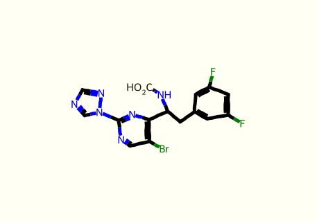 O=C(O)NC(Cc1cc(F)cc(F)c1)c1nc(-n2cncn2)ncc1Br